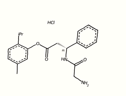 Cc1ccc(C(C)C)c(OC(=O)C[C@@H](NC(=O)CN)c2ccccc2)c1.Cl